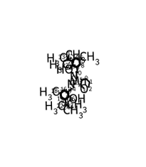 C1CCOCC1.Cc1cc(C=[N][Mn][N]=Cc2cc(C)cc(C(C)(C)C)c2O)c(O)c(C(C)(C)C)c1